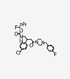 CCCC(F)OC(=O)NCC(CC(=O)N1CCN(Cc2ccc(F)cc2)CC1)c1ccc(Cl)cc1